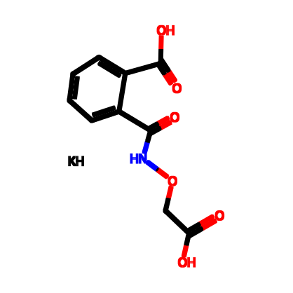 O=C(O)CONC(=O)c1ccccc1C(=O)O.[KH]